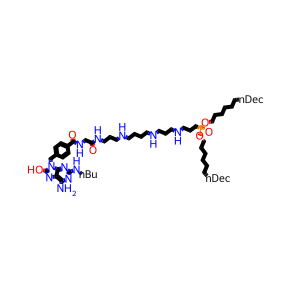 CCCCCCCCCCCCCCCCOP(=O)(CCCNCCCNCCCCNCCCNC(=O)CNC(=O)c1ccc(Cn2c(O)nc3c(N)nc(NCCCC)nc32)cc1)OCCCCCCCCCCCCCCCC